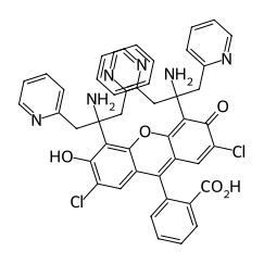 NC(Cc1ccccn1)(Cc1ccccn1)c1c2oc3c(C(N)(Cc4ccccn4)Cc4ccccn4)c(O)c(Cl)cc3c(-c3ccccc3C(=O)O)c-2cc(Cl)c1=O